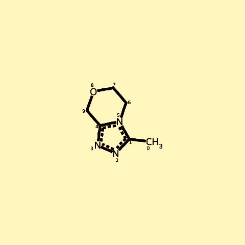 Cc1nnc2n1CCOC2